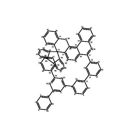 c1ccc(-c2cc(-c3cccc(-c4cccc(-c5nc6ccccc6c6c7c(ccc56)C5(c6ccccc6S7)c6ccccc6-c6ccccc65)c4)c3)nc(-c3ccccc3)n2)cc1